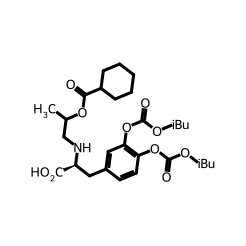 CCC(C)OC(=O)Oc1ccc(C[C@H](NCC(C)OC(=O)C2CCCCC2)C(=O)O)cc1OC(=O)OC(C)CC